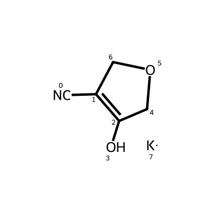 N#CC1=C(O)COC1.[K]